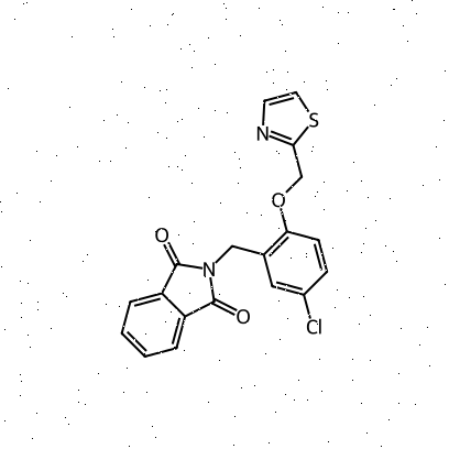 O=C1c2ccccc2C(=O)N1Cc1cc(Cl)ccc1OCc1nccs1